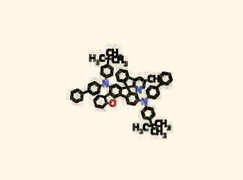 Cc1cnc2c(c1)-c1ccccc1C21c2cc(N(c3ccc(-c4ccccc4)cc3)c3ccc(C(C)(C)C)cc3)ccc2-c2c1cc(N(c1ccc(-c3ccccc3)cc1)c1ccc(C(C)(C)C)cc1)c1c2OC2C=CC=CC12